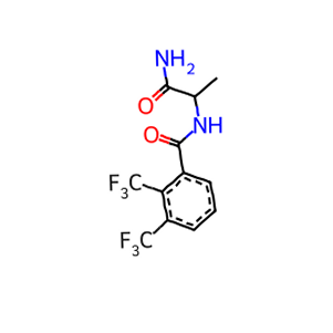 CC(NC(=O)c1cccc(C(F)(F)F)c1C(F)(F)F)C(N)=O